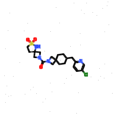 O=C(N1CC2(CCC(Cc3ccc(Cl)cn3)CC2)C1)N1CC2(CCS(=O)(=O)N2)C1